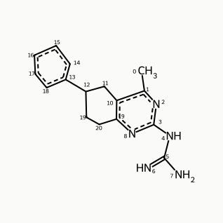 Cc1nc(NC(=N)N)nc2c1CC(c1ccccc1)CC2